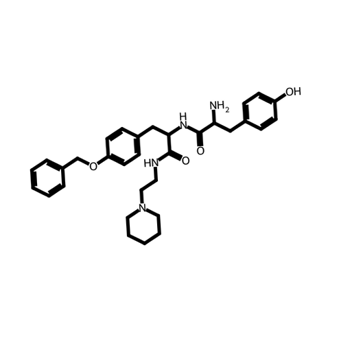 NC(Cc1ccc(O)cc1)C(=O)NC(Cc1ccc(OCc2ccccc2)cc1)C(=O)NCCN1CCCCC1